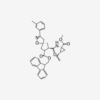 C=C[C@@H]1C[C@]1(NC(=O)[C@@H]1C[C@]2(CC(c3cccc(C)c3)=NO2)CC1C(=O)OCC1c2ccccc2-c2ccccc21)C(=O)OC